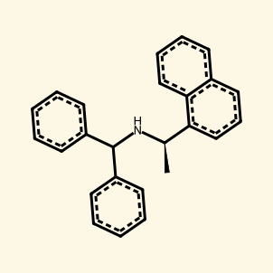 C[C@@H](NC(c1ccccc1)c1ccccc1)c1cccc2ccccc12